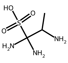 CC(N)C(N)(N)S(=O)(=O)O